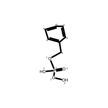 O=P(O)(OO)OCc1ccccc1